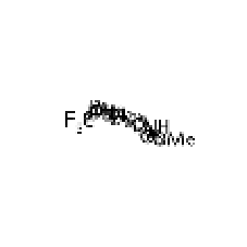 COCC(=O)NC1CCC(CCN2CCN(c3cccc(C(F)(F)F)c3)CC2)CC1